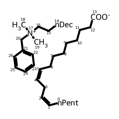 CCCCC/C=C\C/C=C\CCCCCCCC(=O)[O-].CCCCCCCCCCCC[N+](C)(C)Cc1ccccc1